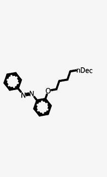 CCCCCCCCCCCCCCOc1ccccc1N=Nc1ccccc1